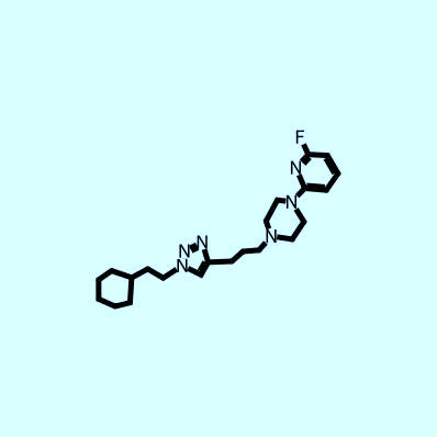 Fc1cccc(N2CCN(CCCc3cn(CCC4CCCCC4)nn3)CC2)n1